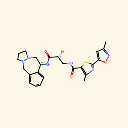 CC[C@H](CNC(=O)c1sc(-c2cc(C)no2)nc1C)C(=O)N[C@@H]1CN2CCCN2Cc2ccccc21